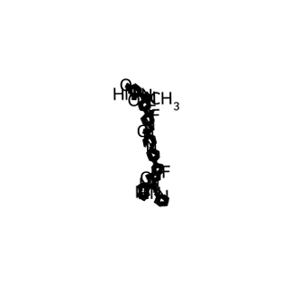 Cn1nc(N2CCC(=O)NC2=O)c2ccc(C3CCN(CC(=O)N4CCN(c5ccc(-c6cc(F)c7c(c6)C(=O)N(C(CNc6ccccn6)c6ncn8c6CCC8)C7)cc5)CC4)CC3(F)F)cc21